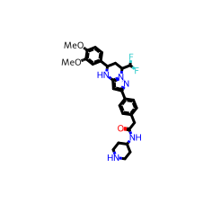 COc1ccc(C2CC(C(F)F)n3nc(-c4ccc(CC(=O)NC5CCNCC5)cc4)cc3N2)cc1OC